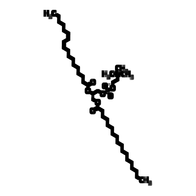 CCCCC/C=C\C=C/CCCCCCCCC(=O)O[C@H](COC(=O)CCCCCCCCCCCCCCCCC)COP(=O)([O-])OCC[N+](C)(C)C